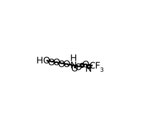 O=C(COc1ccc(Oc2cncc(C(F)(F)F)c2)cc1)NCCCOCCOCCOCCOCCO